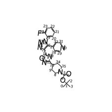 CC(C)(C)OC(=O)N1CCC(c2noc(-c3nnn(-c4ccccc4F)c3-c3ccncc3)n2)CC1